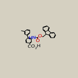 Cc1cccc(-c2ccc(C(=O)O)cc2NC(=O)OCC2c3ccccc3-c3ccccc32)c1